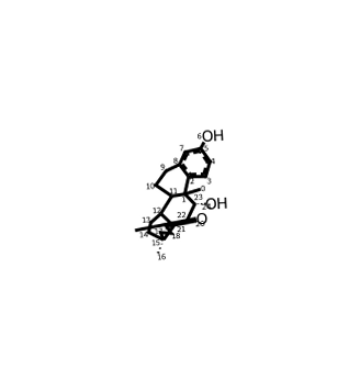 CC12c3ccc(O)cc3CCC1C1CC[C@@]3(C)CCC(=O)[C@@]13C[C@H]2O